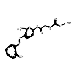 CC(=O)Oc1ccccc1/N=N/c1ccc(NC(=O)CNC(=O)OC(C)(C)C)nc1N